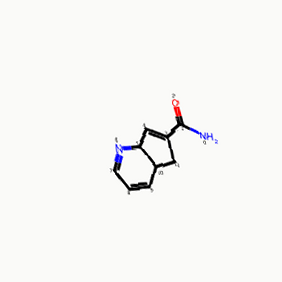 NC(=O)C1=CC2N=CC=CC2C1